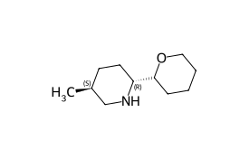 C[C@H]1CC[C@H](C2CCCCO2)NC1